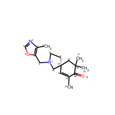 Cc1ncoc1CN1CC[C@]2(C=C(C#N)C(=O)C(C)(C)C2)C1